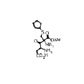 COC(=O)[C@@](N)(CSC1CCCC1)C(=O)[C@@H](N)CC(=O)O